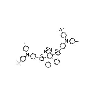 Cc1ccc(N(c2ccc(-c3ccc(-c4c(-c5ccccc5)c(-c5ccccc5)c(-c5ccc(-c6ccc(N(c7ccc(C)cc7)c7ccc(C(C)(C)C)cc7)cc6)s5)c5nsnc45)s3)cc2)c2ccc(C(C)(C)C)cc2)cc1